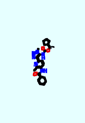 Cc1nc(-c2nnn(C)c2NC(=O)O[C@@H](C)C2CCCC2)ccc1NC(=O)C1CCCCC1